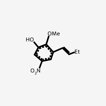 CCC=Cc1cc([N+](=O)[O-])cc(O)c1OC